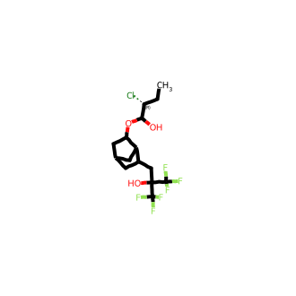 CC[C@@H](Cl)C(O)OC1CC2CC(CC(O)(C(F)(F)F)C(F)(F)F)C1C2